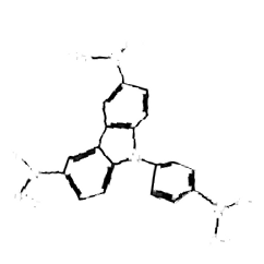 CCCN(CCC)c1ccc(-n2c3ccc(N(CCC)CCC)cc3c3cc(N(CCC)CCC)ccc32)cc1